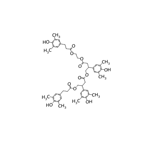 Cc1cc(CCC(=O)OCCOC(=O)CC(COC(=O)CC(COC(=O)CCc2cc(C)c(O)c(C)c2)c2cc(C)c(O)c(C)c2)c2cc(C)c(O)c(C)c2)cc(C)c1O